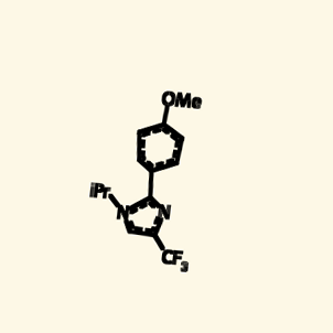 COc1ccc(-c2nc(C(F)(F)F)cn2C(C)C)cc1